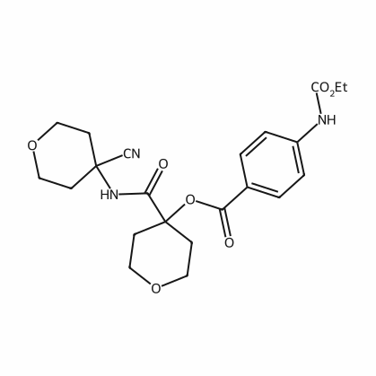 CCOC(=O)Nc1ccc(C(=O)OC2(C(=O)NC3(C#N)CCOCC3)CCOCC2)cc1